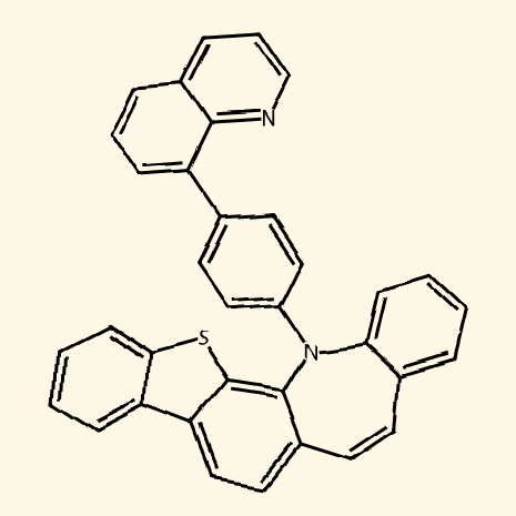 C1=Cc2ccc3c(sc4ccccc43)c2N(c2ccc(-c3cccc4cccnc34)cc2)c2ccccc21